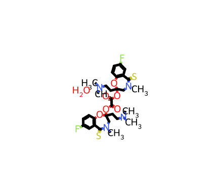 CN(C)CCC1(OC(=O)C(=O)OC2(CCN(C)C)CN(C)C(=S)c3cc(F)ccc3O2)CN(C)C(=S)c2cc(F)ccc2O1.O